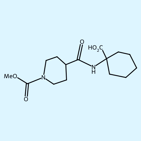 COC(=O)N1CCC(C(=O)NC2(C(=O)O)CCCCC2)CC1